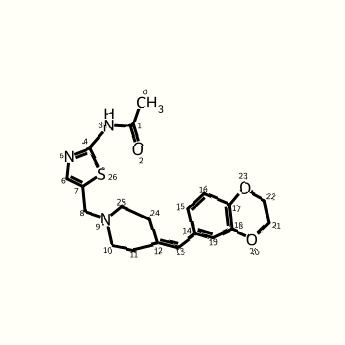 CC(=O)Nc1ncc(CN2CCC(=Cc3ccc4c(c3)OCCO4)CC2)s1